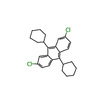 Clc1ccc2c(C3CCCCC3)c3ccc(Cl)cc3c(C3CCCCC3)c2c1